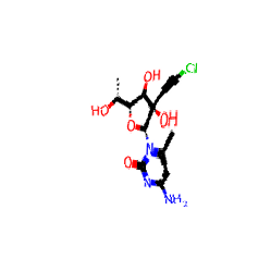 Cc1cc(N)nc(=O)n1[C@@H]1O[C@H]([C@@H](C)O)C(O)[C@]1(O)C#CCl